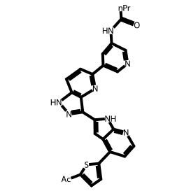 CCCC(=O)Nc1cncc(-c2ccc3[nH]nc(-c4cc5c(-c6ccc(C(C)=O)s6)ccnc5[nH]4)c3n2)c1